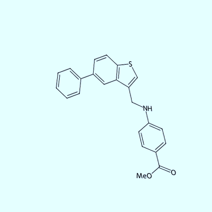 COC(=O)c1ccc(NCc2csc3ccc(-c4ccccc4)cc23)cc1